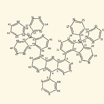 c1ccc(-c2c3cccc(-c4cccc5c4-c4ccccc4[Si]5(c4ccccc4)c4ccccc4)c3cc3c(-c4cccc5c4-c4ccccc4[Si]5(c4ccccc4)c4ccccc4)cccc23)cc1